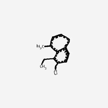 CCc1c(Cl)ccc2cccc(C)c12